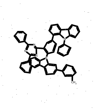 Cc1cccc(-c2ccc3c4ccccc4n(-c4ccc(-c5cccc6c7ccccc7n(-c7ccccc7)c56)cc4-c4nc(-c5ccccc5)nc(-c5ccccc5)n4)c3c2)c1